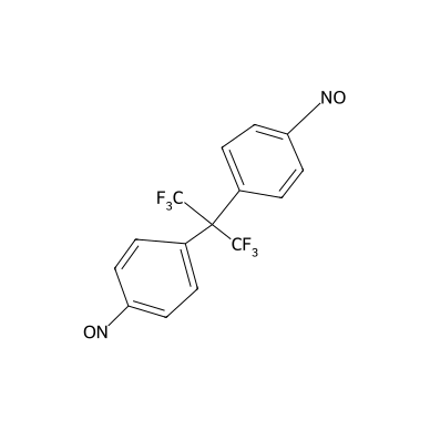 O=Nc1ccc(C(c2ccc(N=O)cc2)(C(F)(F)F)C(F)(F)F)cc1